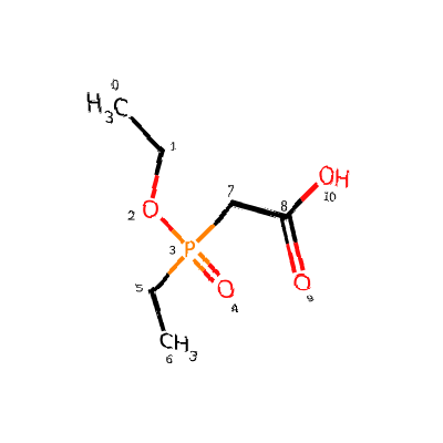 CCOP(=O)(CC)CC(=O)O